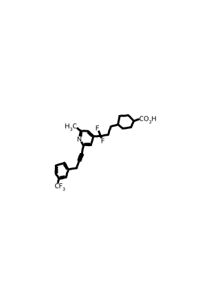 Cc1cc(C(F)(F)CCC2CCC(C(=O)O)CC2)cc(C#CCc2cccc(C(F)(F)F)c2)n1